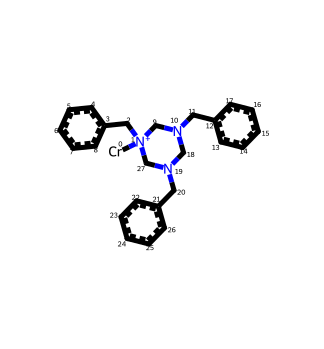 [Cr][N+]1(Cc2ccccc2)CN(Cc2ccccc2)CN(Cc2ccccc2)C1